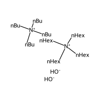 CCCCCC[N+](CCCCCC)(CCCCCC)CCCCCC.CCCC[N+](CCCC)(CCCC)CCCC.[OH-].[OH-]